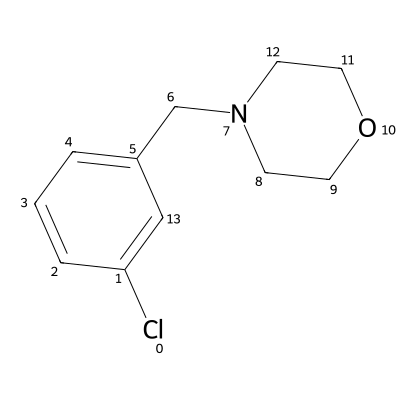 Clc1cccc(CN2CCOCC2)c1